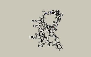 CNN(C)Cc1cc2ccccc2n1CCC(=O)NCC(=O)N(CCO)CC(=O)N(CCO)CC(=O)N(CCO)CCC(=O)N(C)[C@@H](C)C(=O)O[C@H]1CC(=O)N(C)c2cc(cc(OC)c2Cl)C/C(C)=C/C=C/[C@@H](OC)[C@@]2(O)C[C@H](OC(=O)N2)C2(C)C[C@@]1(C)O2